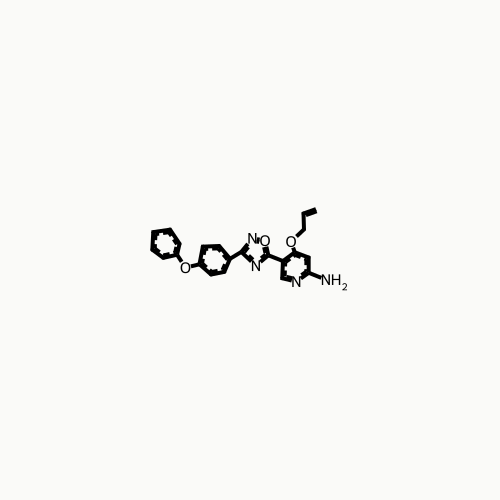 C=CCOc1cc(N)ncc1-c1nc(-c2ccc(Oc3ccccc3)cc2)no1